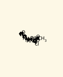 CS(=O)(=O)Nc1cc(Cl)cc(NC(=O)c2cnn(-c3ccc(N4CCCC4=O)cn3)c2)c1